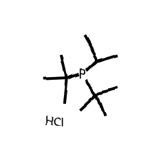 CC(C)P(C(C)(C)C)C(C)(C)C.Cl